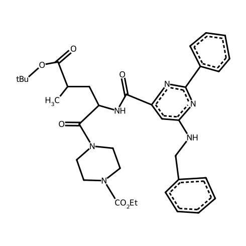 CCOC(=O)N1CCN(C(=O)C(CC(C)C(=O)OC(C)(C)C)NC(=O)c2cc(NCc3ccccc3)nc(-c3ccccc3)n2)CC1